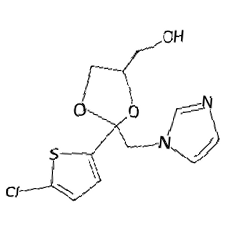 OCC1COC(Cn2ccnc2)(c2ccc(Cl)s2)O1